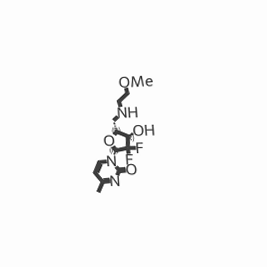 COCCNC[C@H]1O[C@@H](n2ccc(C)nc2=O)C(F)(F)[C@@H]1O